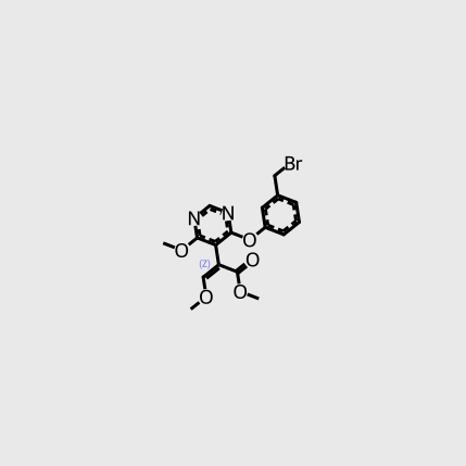 CO/C=C(\C(=O)OC)c1c(OC)ncnc1Oc1cccc(CBr)c1